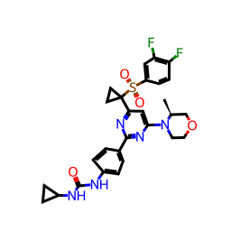 C[C@H]1COCCN1c1cc(C2(S(=O)(=O)c3ccc(F)c(F)c3)CC2)nc(-c2ccc(NC(=O)NC3CC3)cc2)n1